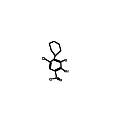 O=[N+]([O-])c1cc(Cl)c(C2CCCCC2)c(Cl)c1O